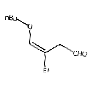 CCCCOC=C(CC)CC=O